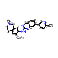 COc1cc2c(cc1Nc1ncc3ccc(-c4ccc(C#N)nc4)cc3n1)CN(C)CC2